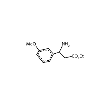 CCOC(=O)CC(N)c1cccc(OC)c1